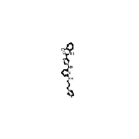 O=C(Nc1ccccc1Cl)C1=CN(Nc2cccc(NCCCn3ccnc3)n2)CS1